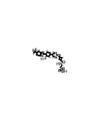 O=C(NCCS(=O)(=O)O)C1CC(Oc2ncc(-c3ccc(-c4nc5cc(C(F)(F)F)ccc5[nH]4)c(F)c3)cn2)C1